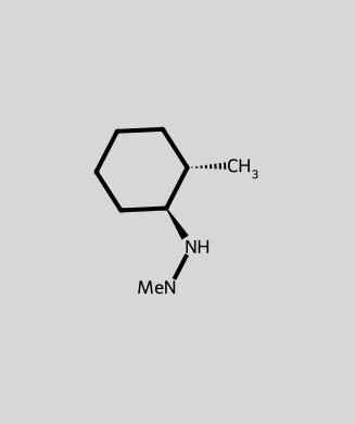 CNN[C@H]1CCCC[C@@H]1C